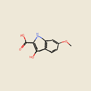 COc1ccc2c(O)c(C(=O)O)[nH]c2c1